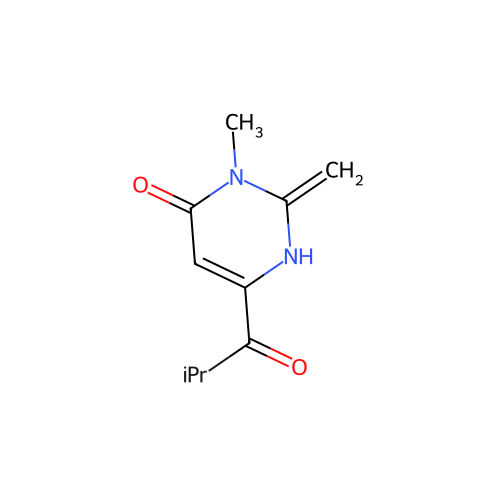 C=C1NC(C(=O)C(C)C)=CC(=O)N1C